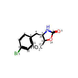 O=C1N[C@H](Cc2ccc(Br)cc2)C(C(=O)O)O1